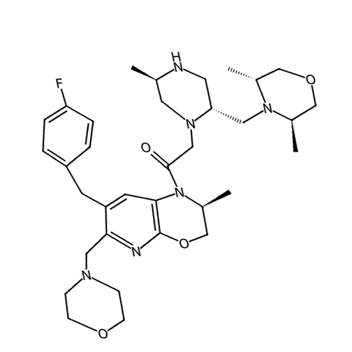 C[C@@H]1CN(CC(=O)N2c3cc(Cc4ccc(F)cc4)c(CN4CCOCC4)nc3OC[C@@H]2C)[C@@H](CN2[C@H](C)COC[C@H]2C)CN1